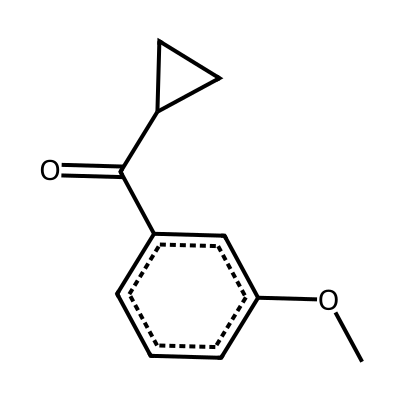 COc1cccc(C(=O)C2CC2)c1